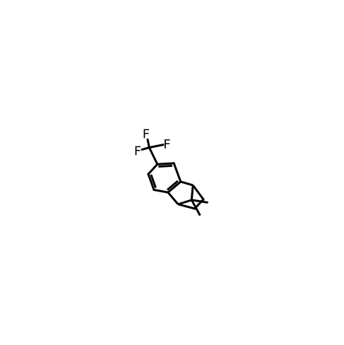 CC1(C)C2CCC1c1cc(C(F)(F)F)ccc12